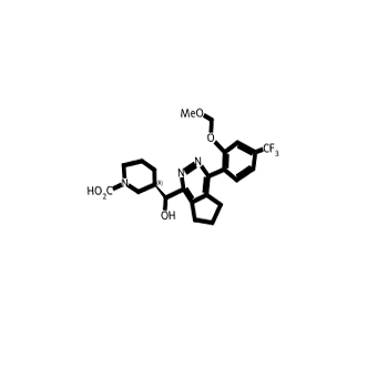 COCOc1cc(C(F)(F)F)ccc1-c1nnc(C(O)[C@@H]2CCCN(C(=O)O)C2)c2c1CCC2